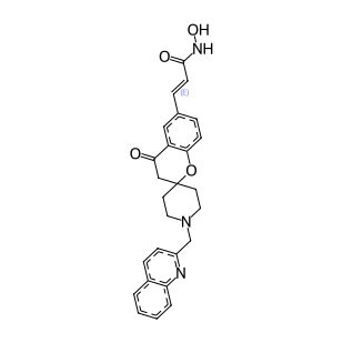 O=C(/C=C/c1ccc2c(c1)C(=O)CC1(CCN(Cc3ccc4ccccc4n3)CC1)O2)NO